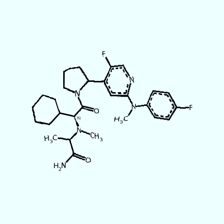 CC(C(N)=O)N(C)[C@H](C(=O)N1CCCC1c1cc(N(C)c2ccc(F)cc2)ncc1F)C1CCCCC1